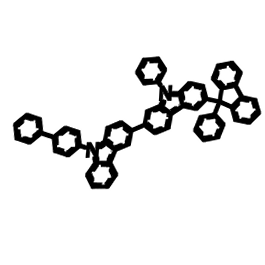 c1ccc(-c2ccc(-n3c4ccccc4c4cc(-c5ccc6c7cc(C8(c9ccccc9)c9ccccc9-c9ccccc98)ccc7n(-c7ccccc7)c6c5)ccc43)cc2)cc1